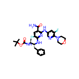 C[C@H](NC(=O)OC(C)(C)C)[C@@H](Cc1ccccc1)Nc1nc(Nc2cnc(N3CCOCC3)c(F)c2)c(C(N)=O)cc1F